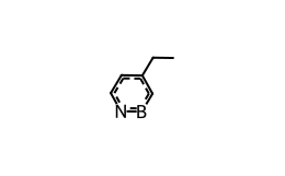 CCc1cbncc1